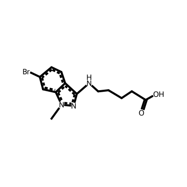 Cn1nc(NCCCCC(=O)O)c2ccc(Br)cc21